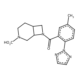 Cc1ccc(-n2nccn2)c(C(=O)N2CC3CCN(C(=O)O)CC32)c1